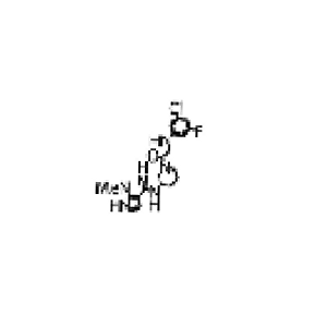 CNc1[nH]ccc1C(=N)N[C@H]1CCCN(C(=O)CNc2cc(F)cc(Cl)c2)C1